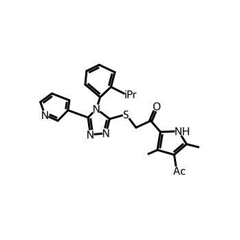 CC(=O)c1c(C)[nH]c(C(=O)CSc2nnc(-c3cccnc3)n2-c2ccccc2C(C)C)c1C